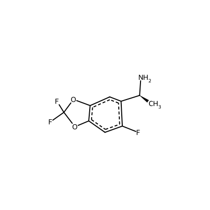 C[C@H](N)c1cc2c(cc1F)OC(F)(F)O2